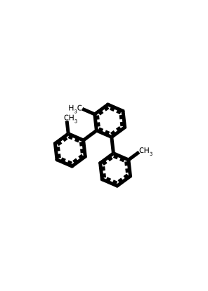 Cc1ccccc1-c1cccc(C)c1-c1ccccc1C